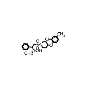 Cc1ccc(OC2CCN(S(=O)(=O)CC(c3ccccc3)N(O)C=O)CC2)c(Cl)c1